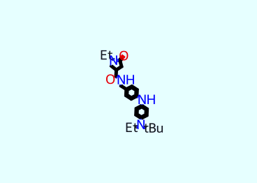 CCN1CC(C(=O)NCc2ccc(Nc3ccc(N(CC)C(C)(C)C)cc3)cc2)CC1=O